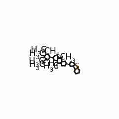 Cc1c2ccc(-c3ccc4sc5ccccc5c4c3)cc2c(C)c2ccc(-c3cc(C(C)(C)C)cc(C(C)(C)C)c3)cc12